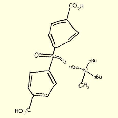 CCCC[N+](C)(CCCC)CCCC.O=C(O)c1ccc(S(=O)(=O)c2ccc(C(=O)O)cc2)cc1